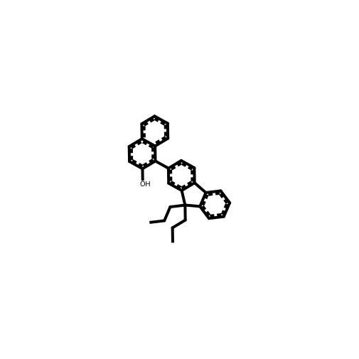 CCCC1(CCC)c2ccccc2-c2ccc(-c3c(O)ccc4ccccc34)cc21